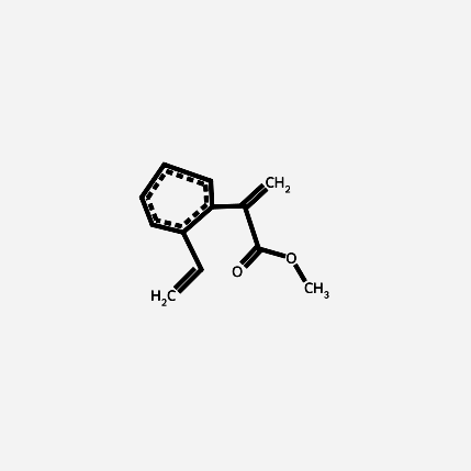 C=Cc1ccccc1C(=C)C(=O)OC